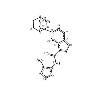 N#Cc1cscc1NC(=O)c1ccc2cnc(N3CC4CCC3CN4)nn12